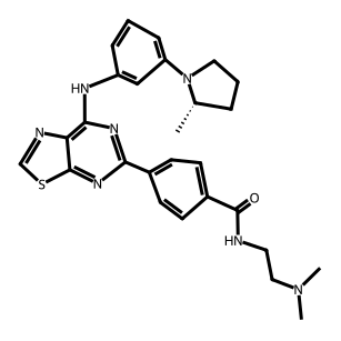 C[C@H]1CCCN1c1cccc(Nc2nc(-c3ccc(C(=O)NCCN(C)C)cc3)nc3scnc23)c1